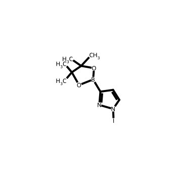 CC1(C)OB(c2ccn(I)n2)OC1(C)C